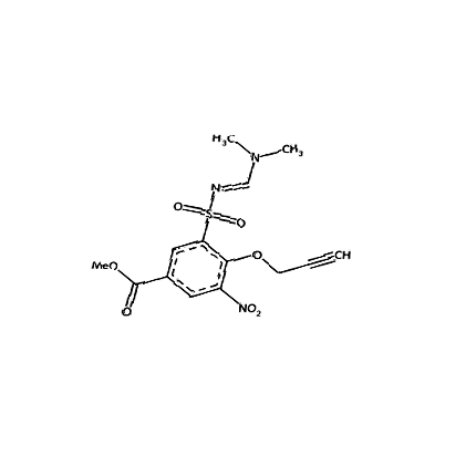 C#CCOc1c([N+](=O)[O-])cc(C(=O)OC)cc1S(=O)(=O)N=CN(C)C